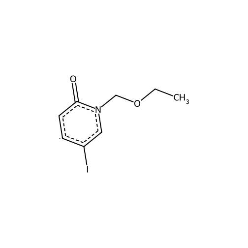 CCOCn1cc(I)[c]cc1=O